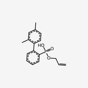 C=CCOP(=O)(O)c1ccccc1-c1ccc(C)cc1C